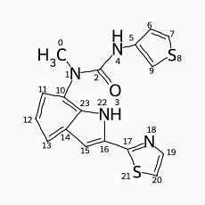 CN(C(=O)Nc1ccsc1)c1cccc2cc(-c3nccs3)[nH]c12